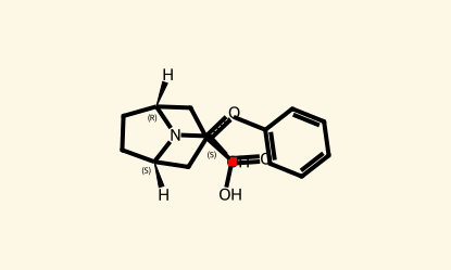 O=C(O)N1[C@@H]2CC[C@H]1C[C@](Cc1ccccc1)(C(=O)O)C2